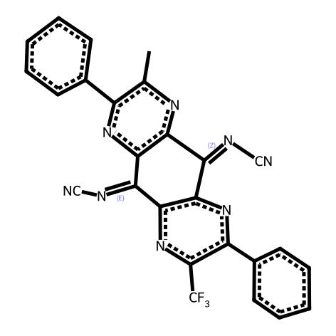 Cc1nc2c(nc1-c1ccccc1)/C(=N\C#N)c1nc(C(F)(F)F)c(-c3ccccc3)nc1/C2=N\C#N